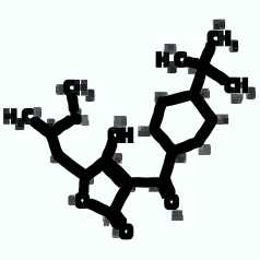 CSC(C)CC1OC(=O)C(C(=O)C2CCC(C(C)(C)C)CC2)=C1O